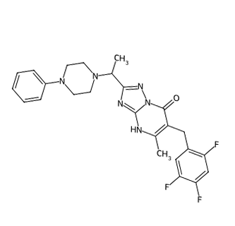 Cc1[nH]c2nc(C(C)N3CCN(c4ccccc4)CC3)nn2c(=O)c1Cc1cc(F)c(F)cc1F